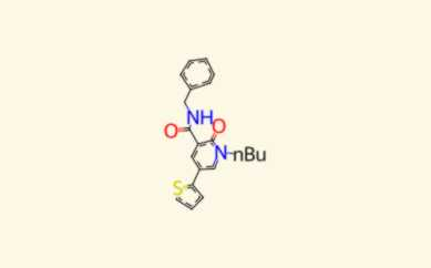 CCCCn1cc(-c2cccs2)cc(C(=O)NCc2ccccc2)c1=O